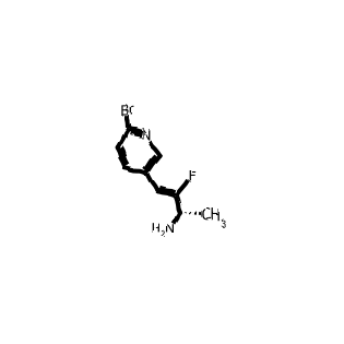 C[C@H](N)/C(F)=C/c1ccc(Br)nc1